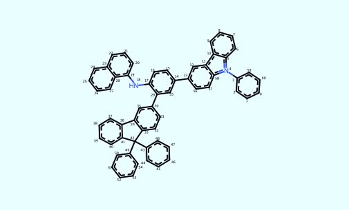 c1ccc(-n2c3ccccc3c3cc(-c4ccc(Nc5cccc6ccccc56)c(-c5ccc6c(c5)-c5ccccc5C6(c5ccccc5)c5ccccc5)c4)ccc32)cc1